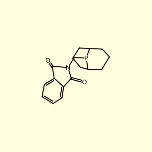 O=C1c2ccccc2C(=O)N1CP1C2CCCC1CCC2